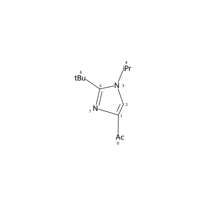 CC(=O)c1cn(C(C)C)c(C(C)(C)C)n1